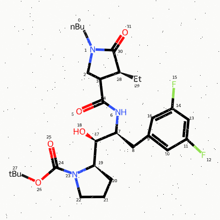 CCCCN1CC(C(=O)N[C@@H](Cc2cc(F)cc(F)c2)[C@H](O)[C@H]2CCCN2C(=O)OC(C)(C)C)[C@H](CC)C1=O